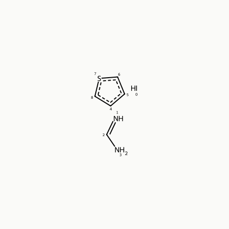 I.N=CN.c1ccsc1